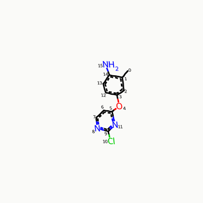 Cc1cc(Oc2ccnc(Cl)n2)ccc1N